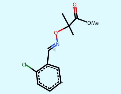 COC(=O)C(C)(C)O/N=C/c1c[c]ccc1Cl